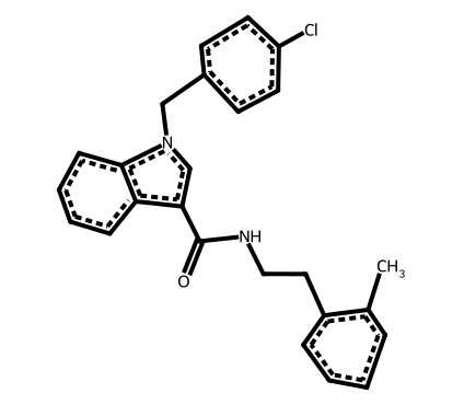 Cc1ccccc1CCNC(=O)c1cn(Cc2ccc(Cl)cc2)c2ccccc12